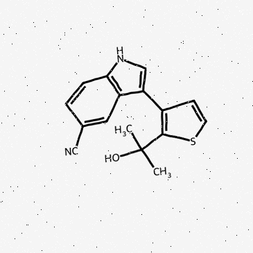 CC(C)(O)c1sccc1-c1c[nH]c2ccc(C#N)cc12